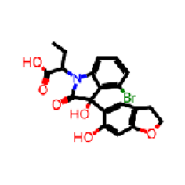 CCC(C(=O)O)N1C(=O)C(O)(c2cc3c(cc2O)OCC3)c2c(Br)cccc21